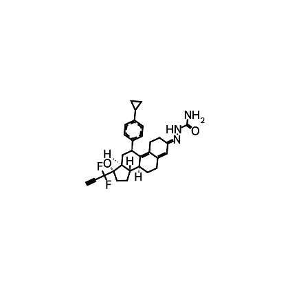 C#CC(F)(F)[C@]1(O)CC[C@H]2[C@@H]3CCC4=C/C(=N/NC(N)=O)CCC4=C3[C@H](c3ccc(C4CC4)cc3)C[C@@]21C